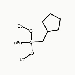 CCCC[Si]([CH]C1CCCC1)(OCC)OCC